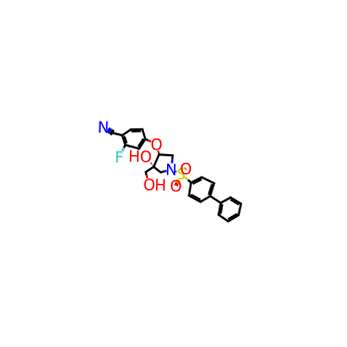 N#Cc1ccc(O[C@H]2CN(S(=O)(=O)c3ccc(-c4ccccc4)cc3)C[C@@]2(O)CO)cc1F